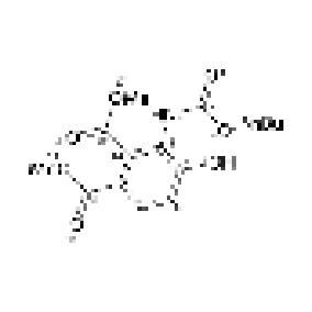 CCCCOC(=O)Nc1c(O)ccc(C(=O)OC)c1C(=O)OC